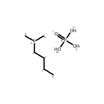 CCCCP(C)C.O=P(O)(O)O